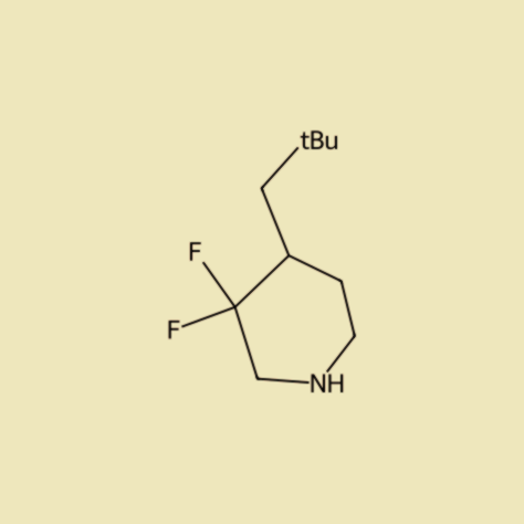 CC(C)(C)CC1CCNCC1(F)F